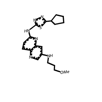 COCCCNc1cnc2ccc(Nc3nnc(C4CCCC4)s3)nc2c1